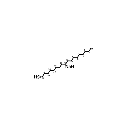 CCCCCCCCCCCCCCCCCCS.[NaH]